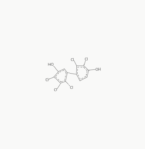 Oc1ccc(-c2cc(O)c(Cl)c(Cl)c2Cl)c(Cl)c1Cl